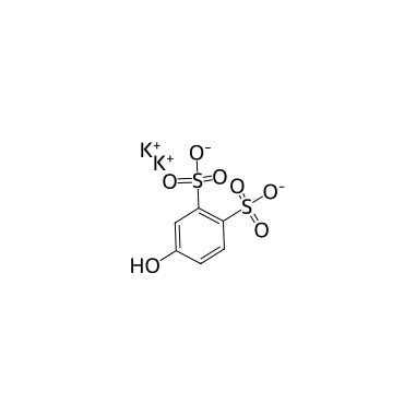 O=S(=O)([O-])c1ccc(O)cc1S(=O)(=O)[O-].[K+].[K+]